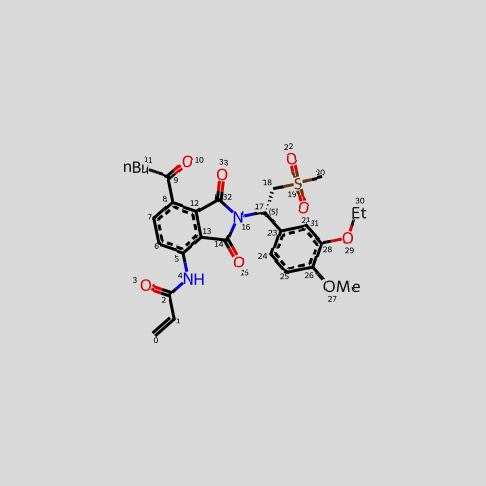 C=CC(=O)Nc1ccc(C(=O)CCCC)c2c1C(=O)N([C@H](CS(C)(=O)=O)c1ccc(OC)c(OCC)c1)C2=O